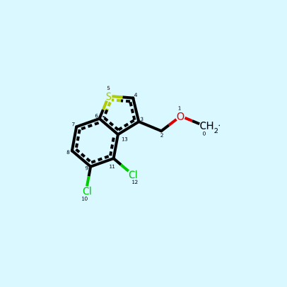 [CH2]OCc1csc2ccc(Cl)c(Cl)c12